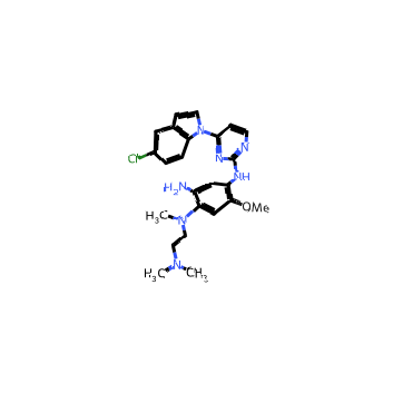 COc1cc(N(C)CCN(C)C)c(N)cc1Nc1nccc(-n2ccc3cc(Cl)ccc32)n1